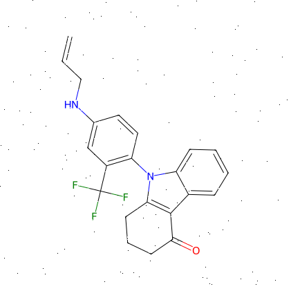 C=CCNc1ccc(-n2c3c(c4ccccc42)C(=O)CCC3)c(C(F)(F)F)c1